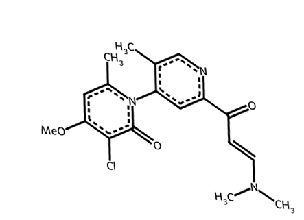 COc1cc(C)n(-c2cc(C(=O)/C=C/N(C)C)ncc2C)c(=O)c1Cl